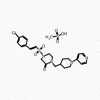 CS(=O)(=O)O.O=C1CN(S(=O)(=O)C=Cc2ccc(Cl)cc2)CCN1CC1CCN(c2ccncc2)CC1